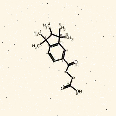 CC1C(C)(C)c2ccc(C(=O)CCC(=O)O)cc2C1(C)C